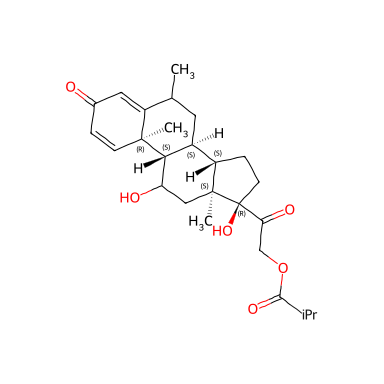 CC(C)C(=O)OCC(=O)[C@@]1(O)CC[C@H]2[C@@H]3CC(C)C4=CC(=O)C=C[C@]4(C)[C@H]3C(O)C[C@@]21C